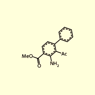 COC(=O)c1ccc(-c2ccccc2)c(C(C)=O)c1N